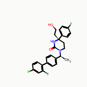 C[C@@H](c1ccc(-c2ccc(F)cc2F)cc1)N1CC[C@@](CCO)(c2ccc(F)cc2)NC1=O